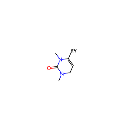 CC(C)C1=CCN(C)C(=O)N1C